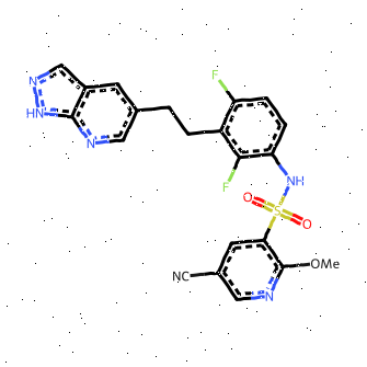 COc1ncc(C#N)cc1S(=O)(=O)Nc1ccc(F)c(CCc2cnc3[nH]ncc3c2)c1F